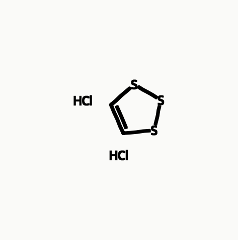 C1=CSSS1.Cl.Cl